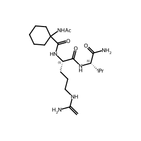 C=C(N)NCCC[C@H](NC(=O)C1(NC(C)=O)CCCCC1)C(=O)N[C@H](C(N)=O)C(C)C